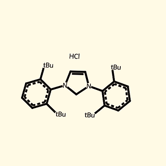 CC(C)(C)c1cccc(C(C)(C)C)c1N1C=CN(c2c(C(C)(C)C)cccc2C(C)(C)C)C1.Cl